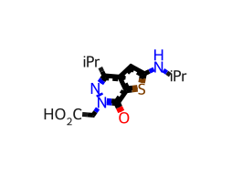 CC(C)Nc1cc2c(C(C)C)nn(CC(=O)O)c(=O)c2s1